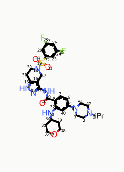 CC(C)N1CCN(c2ccc(C(=O)Nc3n[nH]c4c3CN(S(=O)(=O)c3cc(F)cc(F)c3)CC4)c(NC3CCOCC3)c2)CC1